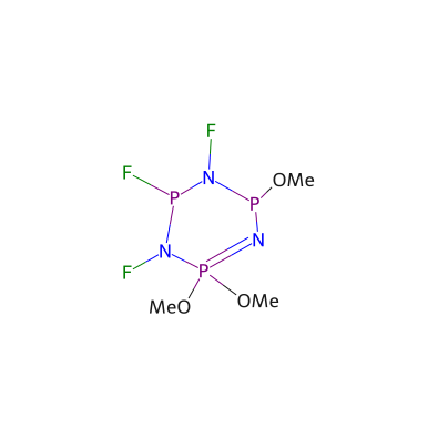 COP1N=P(OC)(OC)N(F)P(F)N1F